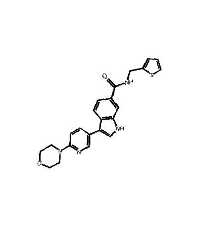 O=C(NCc1cccs1)c1ccc2c(-c3ccc(N4CCOCC4)nc3)c[nH]c2c1